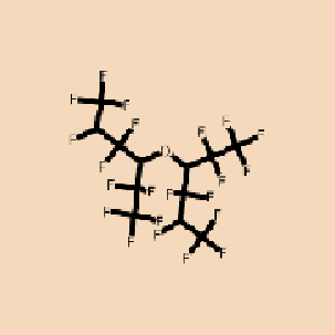 FC(C(F)(F)F)C(F)(F)C(OC(C(F)(F)C(F)C(F)(F)F)C(F)(F)C(F)(F)F)C(F)(F)C(F)(F)F